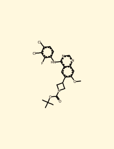 COc1cc2ncnc(Nc3ccc(Cl)c(Cl)c3F)c2cc1C1CN(C(=O)OC(C)(C)C)C1